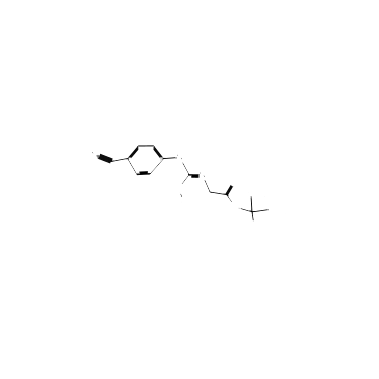 CSC(=NCC(=O)OC(C)(C)C)Nc1ccc(C#N)cc1